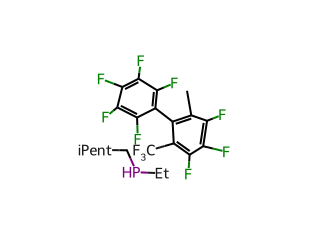 CCCC(C)CPCC.Cc1c(F)c(F)c(F)c(C(F)(F)F)c1-c1c(F)c(F)c(F)c(F)c1F